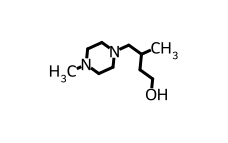 CC(CCO)CN1CCN(C)CC1